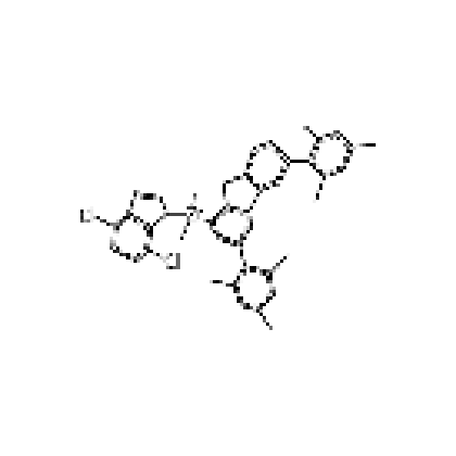 Cc1cc(C)c(-c2ccc3c(c2)-c2cc(-c4c(C)cc(C)cc4C)c[c]([Zr]([CH3])([CH3])[CH]4C=Cc5c(Cl)ccc(Cl)c54)c2C3)c(C)c1